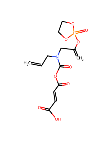 C=CCN(CC(=C)OP1(=O)OCCO1)C(=O)OC(=O)C=CC(=O)O